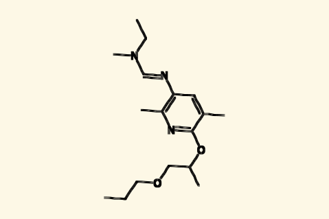 CCCOCC(C)Oc1nc(C)c(/N=C/N(C)CC)cc1C